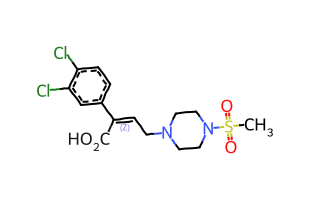 CS(=O)(=O)N1CCN(C/C=C(\C(=O)O)c2ccc(Cl)c(Cl)c2)CC1